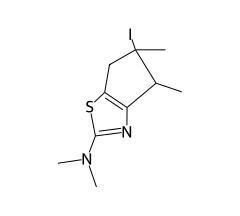 CC1c2nc(N(C)C)sc2CC1(C)I